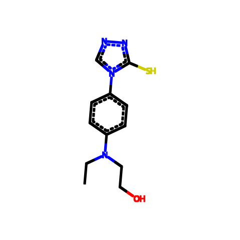 CCN(CCO)c1ccc(-n2cnnc2S)cc1